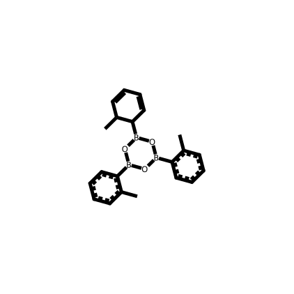 Cc1ccccc1B1OB(c2ccccc2C)OB(C2C=CC=CC2C)O1